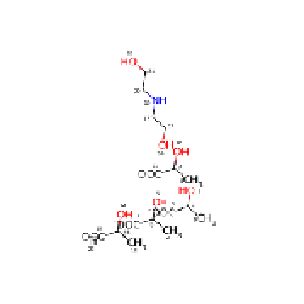 CC(O)C(=O)[O-].CC(O)C(=O)[O-].CC(O)C(=O)[O-].CC(O)C(=O)[O-].OCCNCCO.[Ti+4]